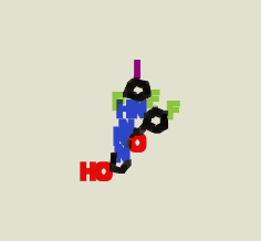 OC1CCN(c2nnc(-c3ccc(F)c(F)c3Nc3ccc(I)cc3F)o2)C1